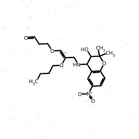 CCCCO/C(=C\OCCC=O)CNC1c2cc([N+](=O)[O-])ccc2OC(C)(C)C1O